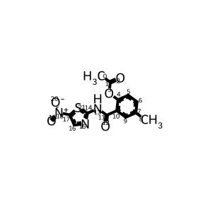 CC(=O)Oc1ccc(C)cc1C(=O)Nc1ncc([N+](=O)[O-])s1